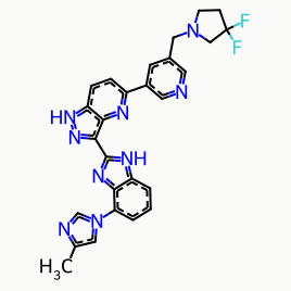 Cc1cn(-c2cccc3[nH]c(-c4n[nH]c5ccc(-c6cncc(CN7CCC(F)(F)C7)c6)nc45)nc23)cn1